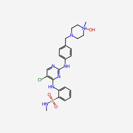 CNS(=O)(=O)c1ccccc1Nc1nc(Nc2ccc(CN3CC[N+](C)(O)CC3)cc2)ncc1Cl